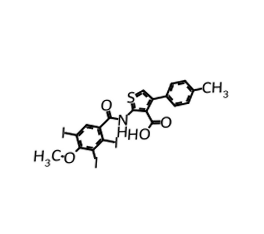 COc1c(I)cc(C(=O)Nc2scc(-c3ccc(C)cc3)c2C(=O)O)c(I)c1I